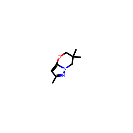 Cc1cc2n(n1)CC(C)(C)CO2